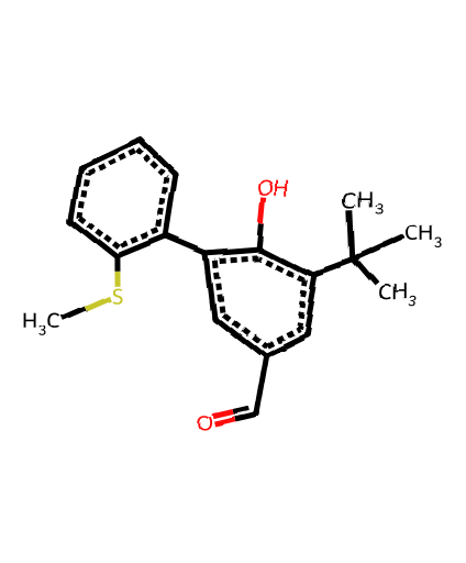 CSc1ccccc1-c1cc(C=O)cc(C(C)(C)C)c1O